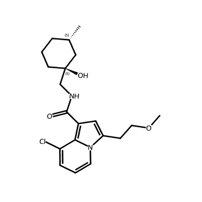 COCCc1cc(C(=O)NC[C@]2(O)CCC[C@H](C)C2)c2c(Cl)cccn12